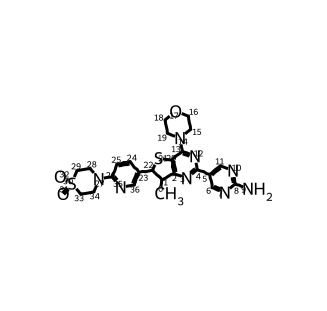 CC1c2nc(-c3cnc(N)nc3)nc(N3CCOCC3)c2SC1c1ccc(N2CCS(=O)(=O)CC2)nc1